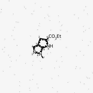 CCOC(=O)c1cc2cnn(C)c2[nH]1